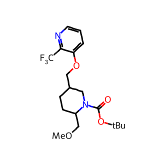 COCC1CCC(COc2cccnc2C(F)(F)F)CN1C(=O)OC(C)(C)C